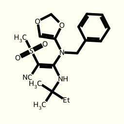 CCC(C)(C)NC(=C(C#N)S(C)(=O)=O)N(Cc1ccccc1)C1=COCO1